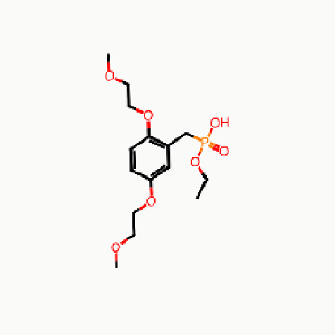 CCOP(=O)(O)Cc1cc(OCCOC)ccc1OCCOC